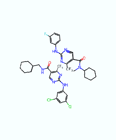 CN(C(=O)c1cnc(Nc2cccc(F)c2)nc1C(F)(F)F)C1CCCCC1.O=C(NCC1CCCCC1)c1cnc(Nc2cc(Cl)cc(Cl)c2)nc1C(F)(F)F